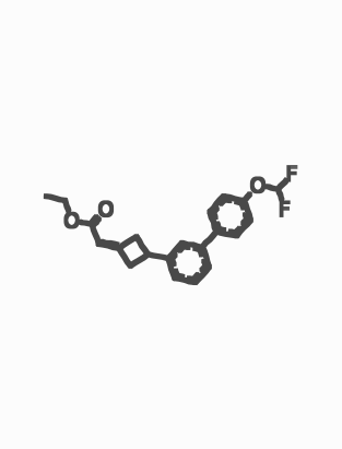 CCOC(=O)C=C1CC(c2cccc(-c3ccc(OC(F)F)cc3)c2)C1